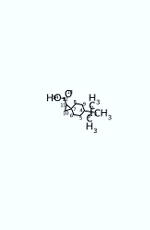 CC(C)(C)C1CCC2(CC1)CC2C(=O)O